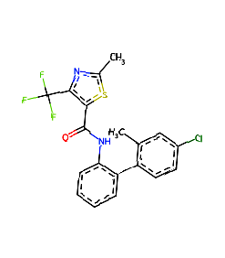 Cc1nc(C(F)(F)F)c(C(=O)Nc2ccccc2-c2ccc(Cl)cc2C)s1